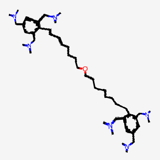 CN(C)Cc1cc(CN(C)C)c(CCCCCCCCOCCCCCCCCc2c(CN(C)C)cc(CN(C)C)cc2CN(C)C)c(CN(C)C)c1